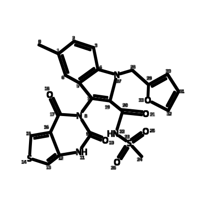 Cc1ccc2c(c1)c(-n1c(=O)[nH]c3cscc3c1=O)c(C(=O)NS(C)(=O)=O)n2Cc1ccco1